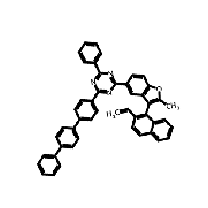 C=Cc1ccc2ccccc2c1-c1c(C)oc2ccc(-c3nc(-c4ccccc4)nc(-c4ccc(-c5ccc(-c6ccccc6)cc5)cc4)n3)cc12